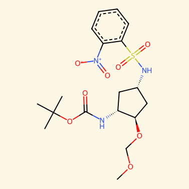 COCO[C@@H]1C[C@@H](NS(=O)(=O)c2ccccc2[N+](=O)[O-])C[C@H]1NC(=O)OC(C)(C)C